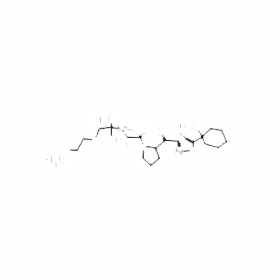 COCCOCC(C)(C)NCC(=O)N1CCCC1C(=O)c1noc(C2(C)CCCCC2)n1